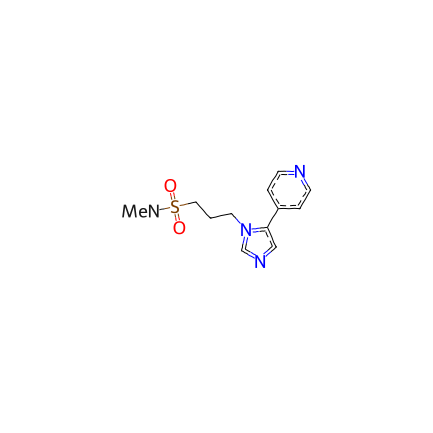 CNS(=O)(=O)CCCn1cncc1-c1ccncc1